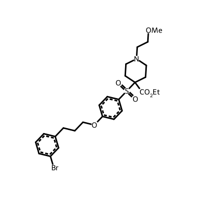 CCOC(=O)C1(S(=O)(=O)c2ccc(OCCCc3cccc(Br)c3)cc2)CCN(CCOC)CC1